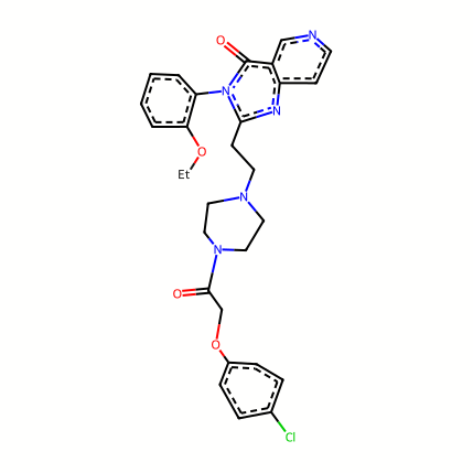 CCOc1ccccc1-n1c(CCN2CCN(C(=O)COc3ccc(Cl)cc3)CC2)nc2ccncc2c1=O